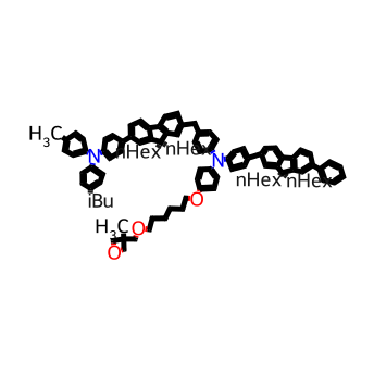 CCCCCCC1(CCCCCC)c2cc(Cc3ccc(N(c4ccc(OCCCCCCOCC5(C)COC5)cc4)c4ccc(-c5ccc6c(c5)C(CCCCCC)(CCCCCC)c5cc(-c7ccccc7)ccc5-6)cc4)cc3)ccc2-c2ccc(-c3ccc(N(c4ccc(C)cc4)c4ccc(C(C)CC)cc4)cc3)cc21